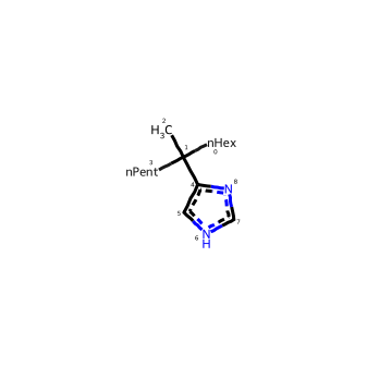 CCCCCCC(C)(CCCCC)c1c[nH]cn1